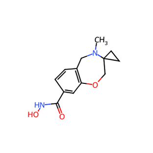 CN1Cc2ccc(C(=O)NO)cc2OCC12CC2